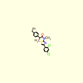 CC(C)Cc1ccc(C(C)C(=O)N(C)c2nc(-c3ccc(Cl)cc3Cl)cs2)cc1